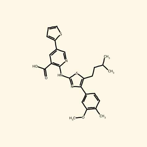 COc1cc(-c2nc(Nc3ncc(-c4cccs4)cc3C(=O)O)sc2CCC(C)C)ccc1C